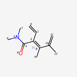 C=C/C(C(=O)N(C)C)=C(/C)C(=C)C